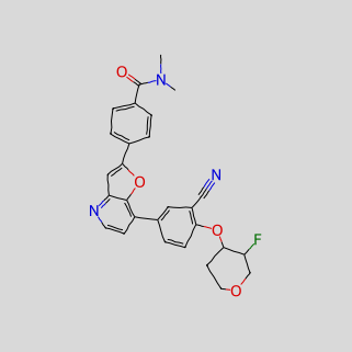 CN(C)C(=O)c1ccc(-c2cc3nccc(-c4ccc(OC5CCOCC5F)c(C#N)c4)c3o2)cc1